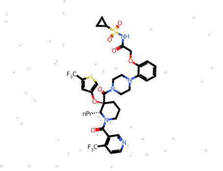 CCC[C@H]1N(C(=O)c2cnccc2C(F)(F)F)CCC[C@@]1(Oc1csc(C(F)(F)F)c1)C(=O)N1CCN(c2ccccc2OCC(=O)NS(=O)(=O)C2CC2)CC1